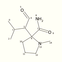 CC(C)C(C=O)C1(C(N)=O)CCCN1C